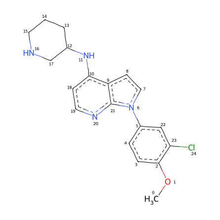 COc1ccc(-n2ccc3c(NC4CCCNC4)ccnc32)cc1Cl